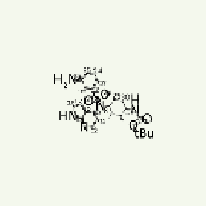 CC(C)(C)OC(=O)NC1CCC(N(c2ccnc3[nH]ccc23)S(=O)(=O)c2cccc(N)c2)CC1